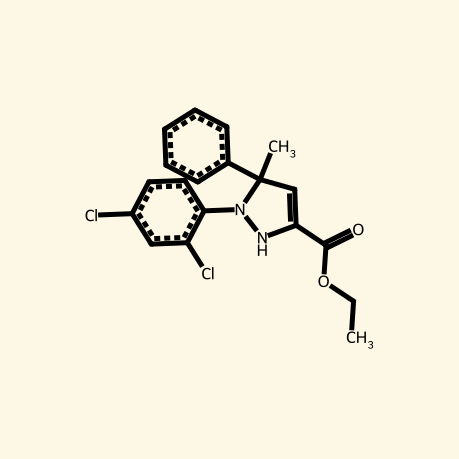 CCOC(=O)C1=CC(C)(c2ccccc2)N(c2ccc(Cl)cc2Cl)N1